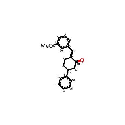 COc1cccc(C=C2CCC(c3ccccc3)CC2=O)c1